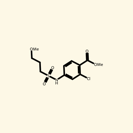 COCCCS(=O)(=O)Nc1ccc(C(=O)OC)c(Cl)c1